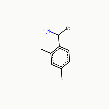 CCC(N)c1ccc(C)cc1C